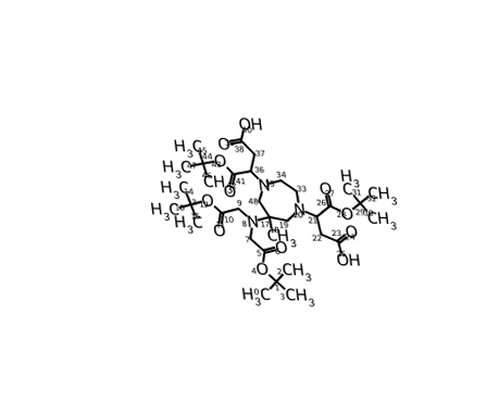 CC(C)(C)OC(=O)CN(CC(=O)OC(C)(C)C)C1(C)CN(C(CC(=O)O)C(=O)OC(C)(C)C)CCN(C(CC(=O)O)C(=O)OC(C)(C)C)C1